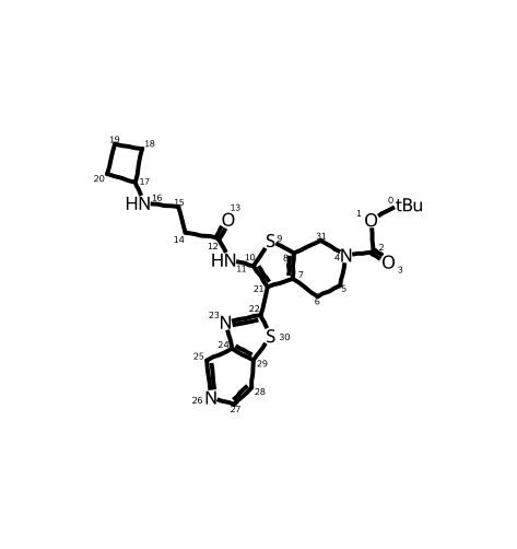 CC(C)(C)OC(=O)N1CCc2c(sc(NC(=O)CCNC3CCC3)c2-c2nc3cnccc3s2)C1